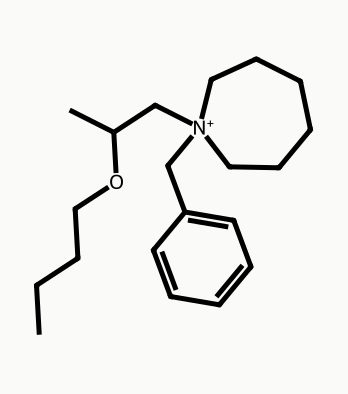 CCCCOC(C)C[N+]1(Cc2ccccc2)CCCCCC1